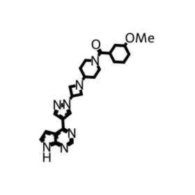 COC1CCCC(C(=O)N2CCC(N3CC(n4cc(-c5ncnc6[nH]ccc56)cn4)C3)CC2)C1